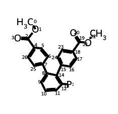 COC(=O)c1ccc(-c2cccc([P])c2-c2ccc(C(=O)OC)cc2)cc1